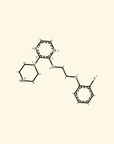 Fc1ccccc1OCCOc1nccnc1N1CCNCC1